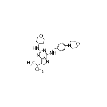 CC(C)c1cnn2c(NCc3ccc(N4CCOCC4)cc3)nc(NC3CCOCC3)nc12